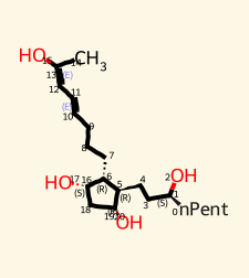 CCCCC[C@H](O)CC[C@@H]1[C@@H](CCC/C=C/C=C(\C)O)[C@@H](O)C[C@H]1O